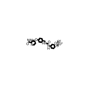 CNC(=O)c1cc(Oc2ccc(CNC(=O)Nc3cccc(OS(=O)(=O)C(F)(F)F)c3)cc2)ccn1